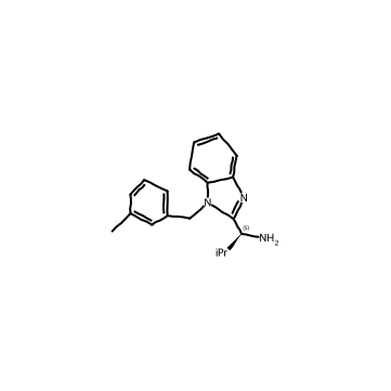 Cc1cccc(Cn2c([C@@H](N)C(C)C)nc3ccccc32)c1